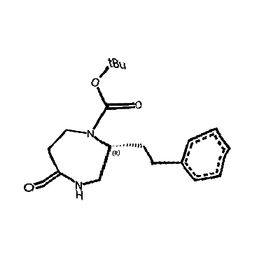 CC(C)(C)OC(=O)N1CCC(=O)NC[C@H]1CCc1ccccc1